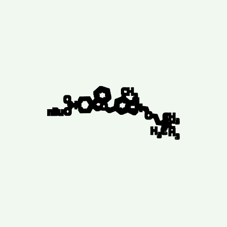 CCCCOC(=O)N1CCC(COCc2cc(C)c3nn(COCC[Si](C)(C)C)cc3c2)(c2ccccc2)CC1